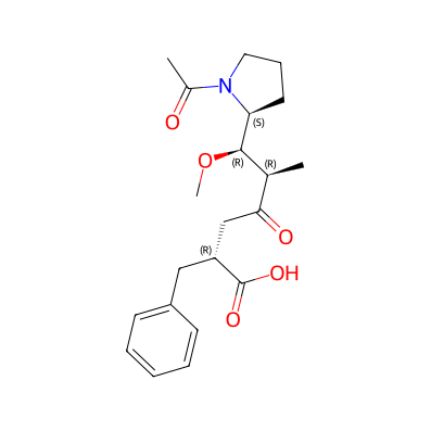 CO[C@H]([C@@H](C)C(=O)C[C@@H](Cc1ccccc1)C(=O)O)[C@@H]1CCCN1C(C)=O